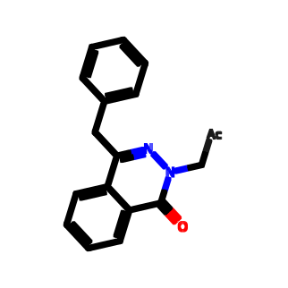 CC(=O)Cn1nc(Cc2ccccc2)c2ccccc2c1=O